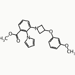 COC(=O)c1cccc(N2CC(Oc3cccc(OC)c3)C2)c1-n1cccc1